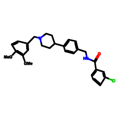 COc1ccc(CN2CCC(c3ccc(CNC(=O)c4cccc(Cl)c4)cc3)CC2)cc1OC